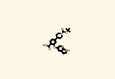 CC(C)(C)OC(=O)N1CC=C(c2ccc(C(=O)O)c(Oc3cnc4[nH]ccc4c3)c2)CC1